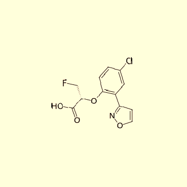 O=C(O)[C@H](CF)Oc1ccc(Cl)cc1-c1ccon1